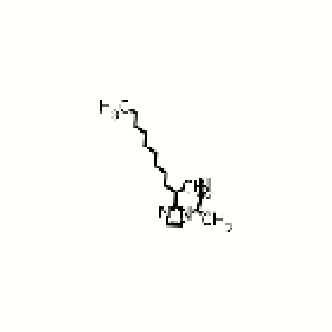 CCCCCCCCCC(C)c1nccn1C(C)C#N